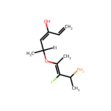 C=C/C(O)=C\C(C)(CC)O/C(C)=C(\F)C(C)P